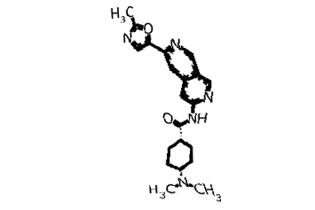 Cc1ncc(-c2cc3cc(NC(=O)[C@H]4CC[C@@H](N(C)C)CC4)ncc3cn2)o1